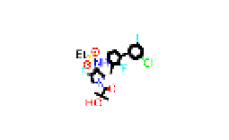 CCS(=O)(=O)N[C@H]1[C@@H](F)CN(C(=O)C(C)(C)O)[C@H]1Cc1cccc(-c2cc(F)cc(Cl)c2)c1F